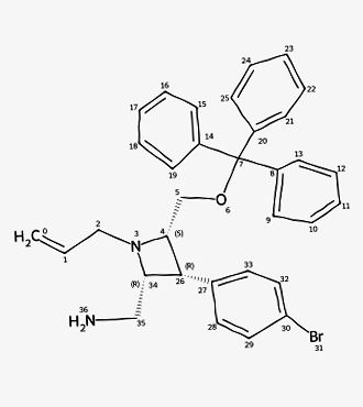 C=CCN1[C@H](COC(c2ccccc2)(c2ccccc2)c2ccccc2)[C@H](c2ccc(Br)cc2)[C@@H]1CN